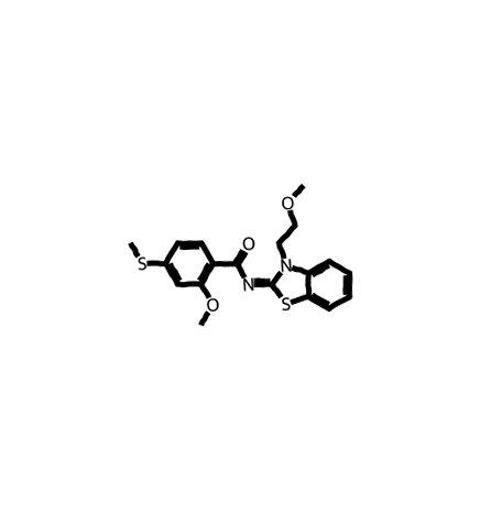 COCCn1c(=NC(=O)c2ccc(SC)cc2OC)sc2ccccc21